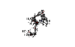 CCC(=O)NCCNC(=O)/N=C(/N)NCCC[C@@H](NC(=O)[C@H](c1ccccc1)c1cccc(OCCCCNC(=O)CN(C)C(=O)CN(C)C(=O)CN(C)C(=O)CN(C)C(=O)CN(C)C(=O)CCNC(=O)CNCCN(CCN(CCNCC(=O)O)CC(=O)O)CC(=O)O)c1)C(=O)NCc1ccc(O)cc1